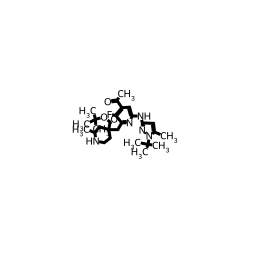 CC(=O)c1cc(Nc2cc(C)n(C(C)(C)C)n2)nc(CC2(C(=O)OC(C)(C)C)CCNC(C)C2)c1F